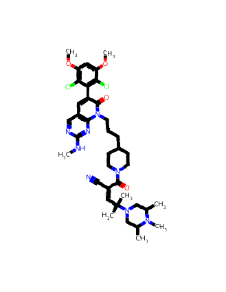 CNc1ncc2cc(-c3c(Cl)c(OC)cc(OC)c3Cl)c(=O)n(CCCC3CCN(C(=O)/C(C#N)=C\C(C)(C)N4CC(C)N(C)C(C)C4)CC3)c2n1